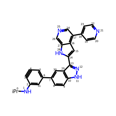 CC(C)Nc1c#ccc(-c2ccc3[nH]nc(-c4cc5c(-c6ccncc6)cncc5[nH]4)c3c2)c1